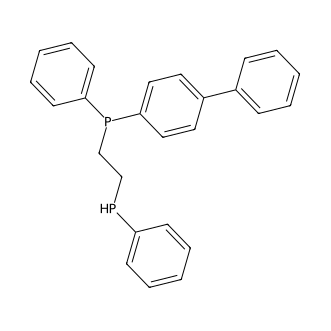 c1ccc(PCCP(c2ccccc2)c2ccc(-c3ccccc3)cc2)cc1